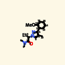 CCC(C(=O)N(C)C)n1cc(C)c(-c2ccccc2OC)n1